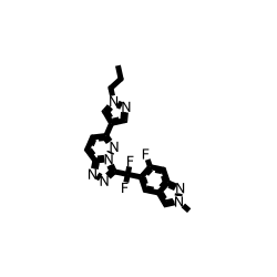 CCCn1cc(-c2ccc3nnc(C(F)(F)c4cc5cn(C)nc5cc4F)n3n2)cn1